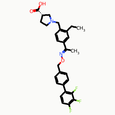 CCc1cc(/C(C)=N/OCc2ccc(-c3ccc(F)c(F)c3F)cc2)ccc1CN1CC[C@H](C(=O)O)C1